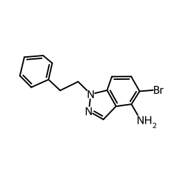 Nc1c(Br)ccc2c1cnn2CCc1ccccc1